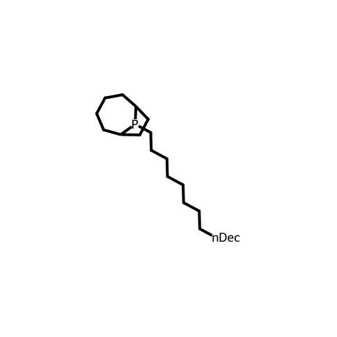 CCCCCCCCCCCCCCCCCCP1C2CCCCC1CC2